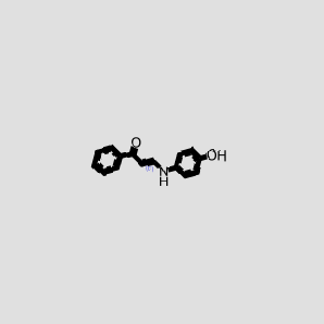 O=C(/C=C/Nc1ccc(O)cc1)c1ccccc1